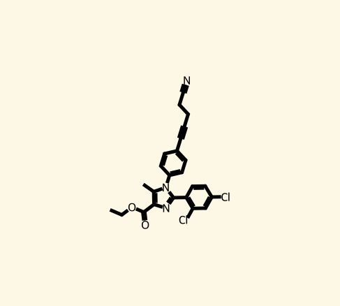 CCOC(=O)c1nc(-c2ccc(Cl)cc2Cl)n(-c2ccc(C#CCCC#N)cc2)c1C